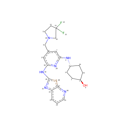 O[C@H]1CC[C@H](Nc2cc(CN3CCC(F)(F)C3)cc(Nc3nc4cccnc4s3)n2)CC1